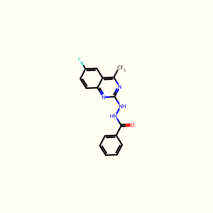 O=C(NNc1nc(C(F)(F)F)c2cc(F)ccc2n1)c1ccccc1